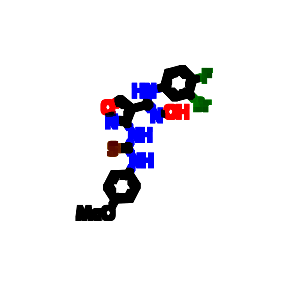 COc1ccc(NC(=S)Nc2nocc2/C(=N/O)Nc2ccc(F)c(Br)c2)cc1